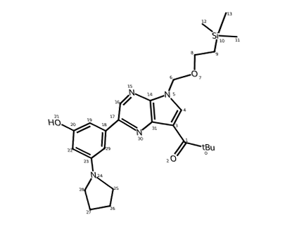 CC(C)(C)C(=O)c1cn(COCC[Si](C)(C)C)c2ncc(-c3cc(O)cc(N4CCCC4)c3)nc12